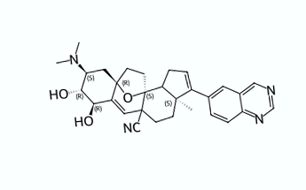 CN(C)[C@H]1C[C@@]23CC[C@]4(O2)C2CC=C(c5ccc6ncncc6c5)[C@@]2(C)CCC4(C#N)C=C3[C@@H](O)[C@@H]1O